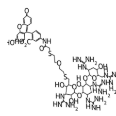 N=C(N)NCC1OC(OC2C(NC(=N)N)CC(NC(=N)N)C(OC3OC(CSCCOCCSCC(=O)Nc4ccc(-c5c6ccc(=O)cc-6oc6cc(O)ccc56)c(C(=O)O)c4)C(O)C(NC(=N)N)C3O)C2O)C(NC(=N)N)CC1O